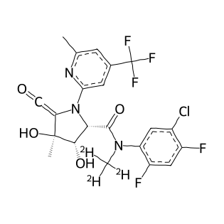 [2H]C([2H])([2H])N(C(=O)[C@@H]1[C@H](O)[C@@](C)(O)C(=C=O)N1c1cc(C(F)(F)F)cc(C)n1)c1cc(Cl)c(F)cc1F